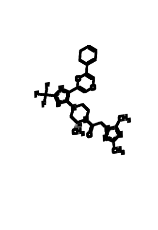 Cc1nc(C)n(CC(=O)N2CCN(c3sc(C(F)(F)F)nc3C3=COC=C(C4=CC=CCC4)O3)C[C@H]2C)n1